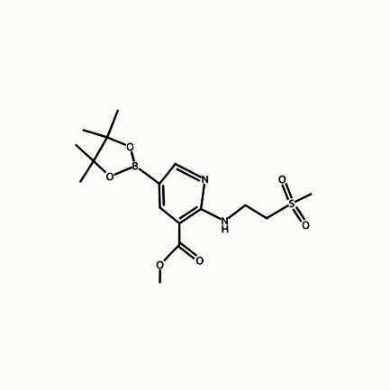 COC(=O)c1cc(B2OC(C)(C)C(C)(C)O2)cnc1NCCS(C)(=O)=O